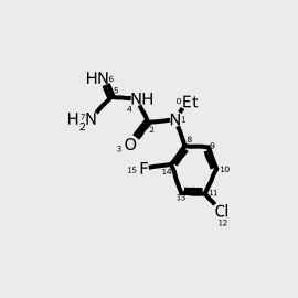 CCN(C(=O)NC(=N)N)c1ccc(Cl)cc1F